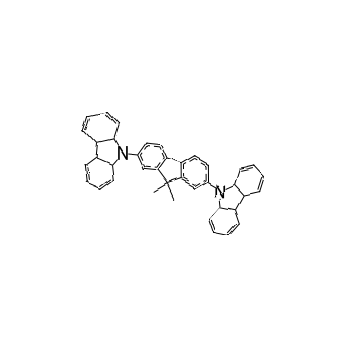 CC1(C)c2cc(N3C4C=CC=CC4C4C=CC=CC43)ccc2-c2ccc(N3C4C=CC=CC4C4C=CC=CC43)cc21